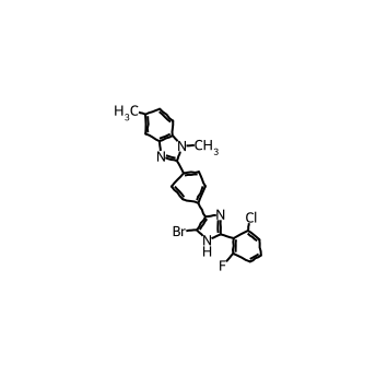 Cc1ccc2c(c1)nc(-c1ccc(-c3nc(-c4c(F)cccc4Cl)[nH]c3Br)cc1)n2C